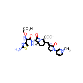 C[n+]1cccc(N2CC/C(=C\C3=C(C(=O)[O-])N4C(=O)[C@@H](NC(=O)/C(=N\OCC(=O)O)c5csc(N)n5)[C@H]4CC3)C2=O)c1